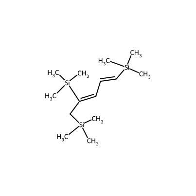 C[Si](C)(C)/C=C/C=C(/C[Si](C)(C)C)[Si](C)(C)C